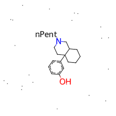 CCCCCN1CCC2(c3cccc(O)c3)CCCCC2C1